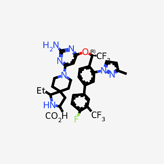 CCC1NC(C(=O)O)CC12CCN(c1cc(O[C@H](c3ccc(-c4ccc(F)c(C(F)(F)F)c4)cc3-n3ccc(C)n3)C(F)(F)F)nc(N)n1)CC2